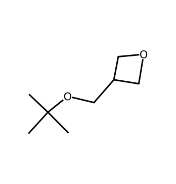 CC(C)(C)OCC1COC1